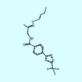 CCCCON=C(C)CNC(=O)c1ccc(-c2noc(C(F)(F)F)n2)cc1